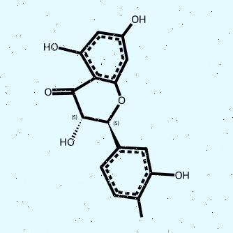 Cc1ccc([C@@H]2Oc3cc(O)cc(O)c3C(=O)[C@H]2O)cc1O